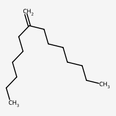 C=C(CCCCCC)CCCCCCC